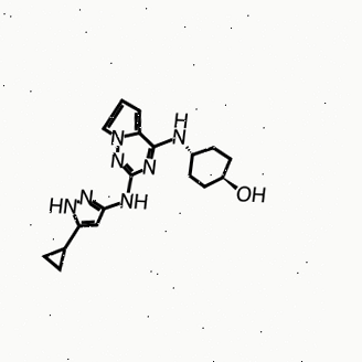 O[C@H]1CC[C@H](Nc2nc(Nc3cc(C4CC4)[nH]n3)nn3cccc23)CC1